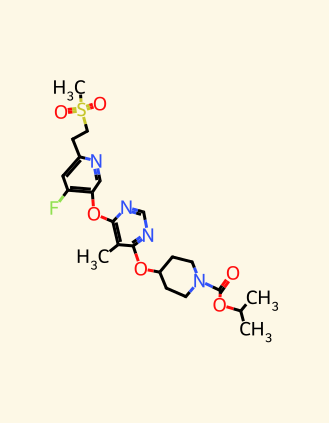 Cc1c(Oc2cnc(CCS(C)(=O)=O)cc2F)ncnc1OC1CCN(C(=O)OC(C)C)CC1